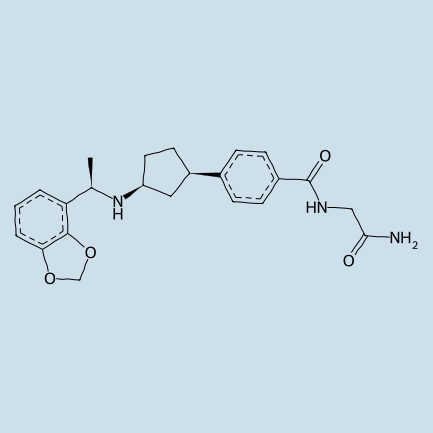 C[C@@H](N[C@H]1CC[C@@H](c2ccc(C(=O)NCC(N)=O)cc2)C1)c1cccc2c1OCO2